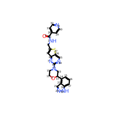 O=C(NCc1cc2nc(N3CCOC(c4cccc5[nH]ncc45)C3)ncc2s1)c1ccncc1